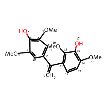 C=C(c1cc(OC)c(O)c(OC)c1)c1ccc(OC)c(O)c1OC